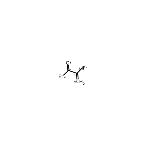 C=C(C(=O)CC)C(C)C